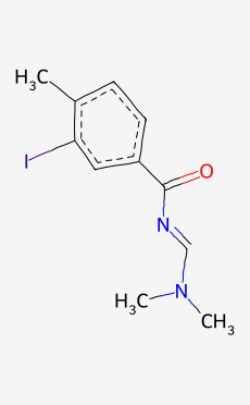 Cc1ccc(C(=O)N=CN(C)C)cc1I